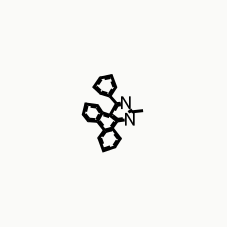 Cc1nc(-c2ccccc2)c2c3ccccc3c3ccccc3c2n1